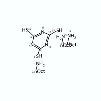 CCCCCCCCN.CCCCCCCCN.CCCCCCCCN.Sc1nc(S)nc(S)n1